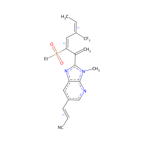 C=C(/C(=C\C(=C/C)C(F)(F)F)S(=O)(=O)CC)c1nc2cc(/C=C/C#N)cnc2n1C